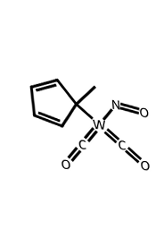 C[C]1([W](=[C]=O)(=[C]=O)[N]=O)C=CC=C1